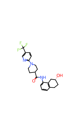 O=C(Nc1cccc2c1C[C@H](O)CC2)C1CCN(c2ccc(C(F)(F)F)cn2)CC1